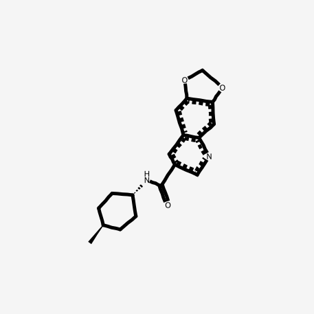 C[C@H]1CC[C@H](NC(=O)c2cnc3cc4c(cc3c2)OCO4)CC1